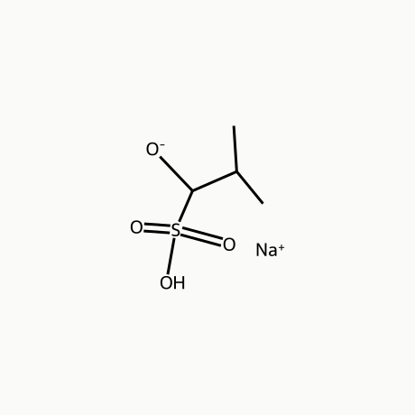 CC(C)C([O-])S(=O)(=O)O.[Na+]